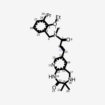 CCOc1c(CN(C)C(=O)/C=C/c2cnc3c(c2)CNC(C)(C)C(=O)N3)cccc1C(C)C